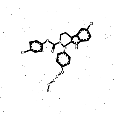 CCOCCOc1ccc([C@H]2c3[nH]c4ccc(Cl)cc4c3CCN2C(=O)Oc2ccc(Cl)cc2)cc1